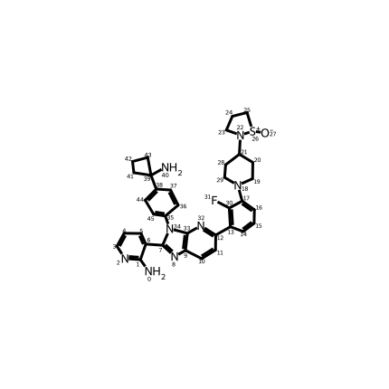 Nc1ncccc1-c1nc2ccc(-c3cccc(N4CCC(N5CCC[S+]5[O-])CC4)c3F)nc2n1-c1ccc(C2(N)CCC2)cc1